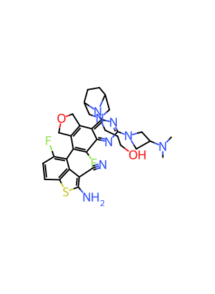 CN(C)C1CN(c2nc(N3C4CCC3CN(CCCO)C4)c3c4c(c(-c5c(F)ccc6sc(N)c(C#N)c56)c(F)c3n2)COC4)C1